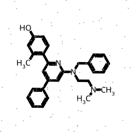 Cc1cc(O)ccc1-c1cc(-c2ccccc2)cc(N(CCN(C)C)Cc2ccccc2)n1